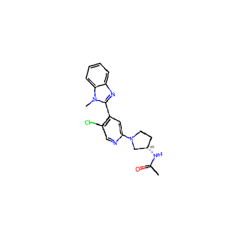 CC(=O)N[C@H]1CCN(c2cc(-c3nc4ccccc4n3C)c(Cl)cn2)C1